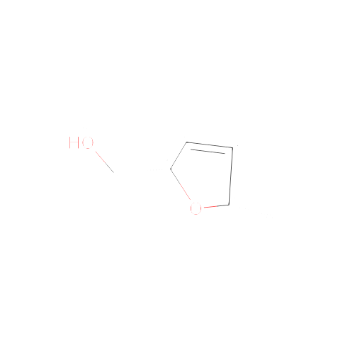 C[C@H]1C=C[C@@H](CO)O1